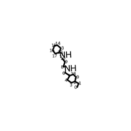 CCC1CCC(CNCCCNC2CCCCC2)CC1